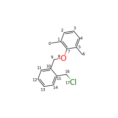 Cc1cccc(C)c1OCc1ccccc1CCl